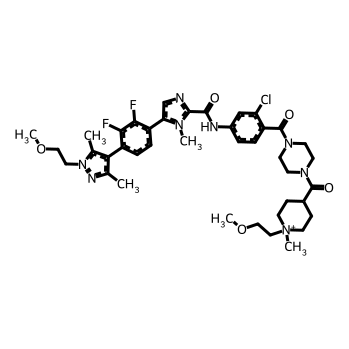 COCCn1nc(C)c(-c2ccc(-c3cnc(C(=O)Nc4ccc(C(=O)N5CCN(C(=O)C6CC[N+](C)(CCOC)CC6)CC5)c(Cl)c4)n3C)c(F)c2F)c1C